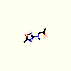 CC(=O)CN(C)c1noc(C)n1